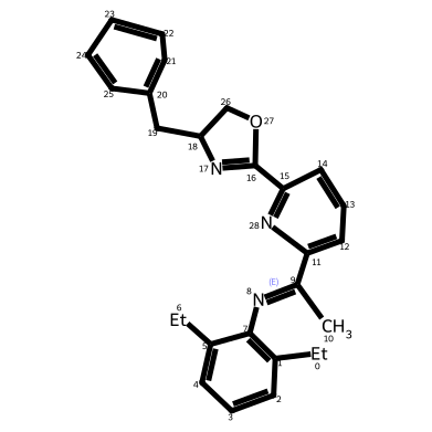 CCc1cccc(CC)c1/N=C(\C)c1cccc(C2=NC(Cc3ccccc3)CO2)n1